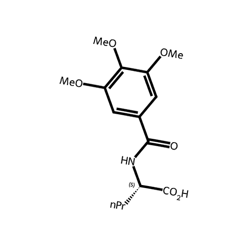 CCC[C@H](NC(=O)c1cc(OC)c(OC)c(OC)c1)C(=O)O